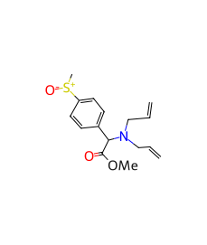 C=CCN(CC=C)C(C(=O)OC)c1ccc([S+](C)[O-])cc1